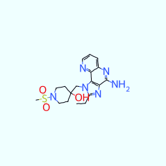 CCc1nc2c(N)nc3cccnc3c2n1CC1(O)CCN(S(C)(=O)=O)CC1